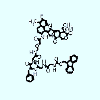 CC[C@@]1(O)C(=O)OCc2c1cc1n(c2=O)Cc2c-1nc1cc(F)c(C)c3c1c2C(NC(=O)COCNC(=O)CNC(=O)[C@H](Cc1ccccc1)NC(=O)CNC(=O)CNC(=O)OCC1c2ccccc2-c2ccccc21)CC3